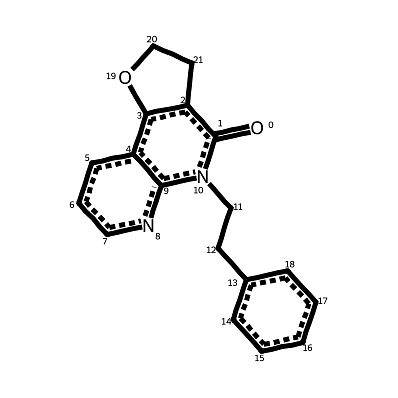 O=c1c2c(c3cccnc3n1CCc1ccccc1)OCC2